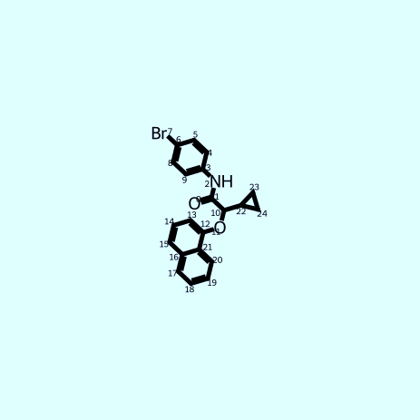 O=C(Nc1ccc(Br)cc1)C(Oc1cccc2ccccc12)C1CC1